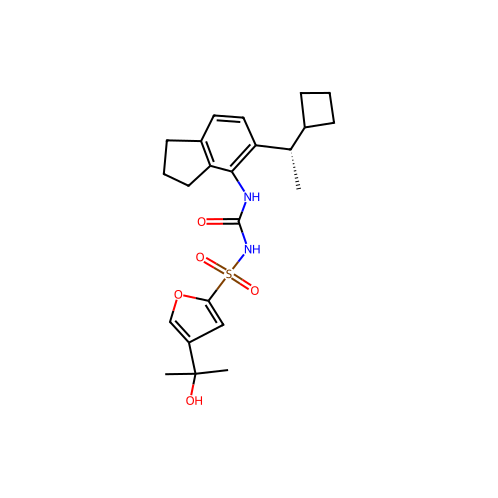 C[C@H](c1ccc2c(c1NC(=O)NS(=O)(=O)c1cc(C(C)(C)O)co1)CCC2)C1CCC1